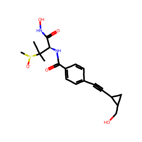 C[S+]([O-])C(C)(C)[C@H](NC(=O)c1ccc(C#CC2CC2CO)cc1)C(=O)NO